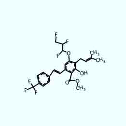 COC(=O)c1c(C=Cc2ccc(C(F)(F)F)cc2)cc(OC(F)C(F)CF)c(CC=C(C)C)c1O